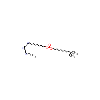 CC/C=C\C/C=C\C/C=C\CCCCCCCCOC(=O)OCCCCCCCCCC(C)C